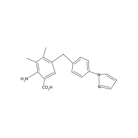 Cc1c(Cc2ccc(-n3cccn3)cc2)cc(C(=O)O)c(N)c1C